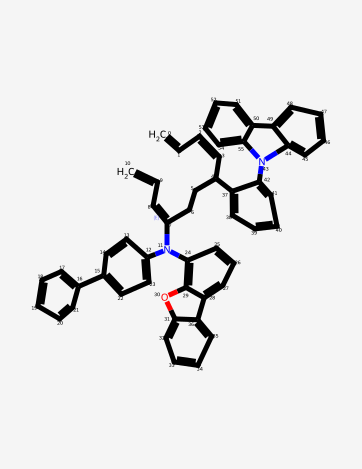 C=CC=CC(CC/C(=C\C=C)N(c1ccc(-c2ccccc2)cc1)c1cccc2c1oc1ccccc12)c1ccccc1-n1c2ccccc2c2ccccc21